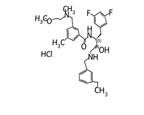 CCc1cccc(CNC[C@@H](O)[C@H](Cc2cc(F)cc(F)c2)NC(=O)c2cc(C)cc(CN(C)CCOC)c2)c1.Cl